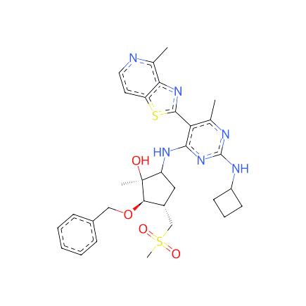 Cc1nc(NC2CCC2)nc(NC2C[C@H](CS(C)(=O)=O)[C@@H](OCc3ccccc3)[C@@]2(C)O)c1-c1nc2c(C)nccc2s1